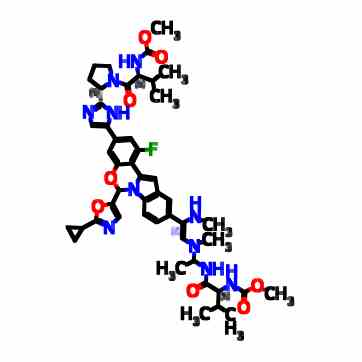 CN/C(=C\N(C)C(C)NC(=O)[C@@H](NC(=O)OC)C(C)C)c1ccc2c(c1)cc1n2C(c2cnc(C3CC3)o2)Oc2cc(-c3cnc([C@@H]4CCCN4C(=O)[C@@H](NC(=O)OC)C(C)C)[nH]3)cc(F)c2-1